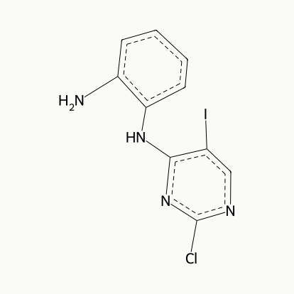 Nc1ccccc1Nc1nc(Cl)ncc1I